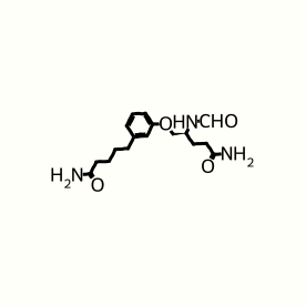 NC(=O)CCCCc1cccc(OC[C@H](CCC(N)=O)NC=O)c1